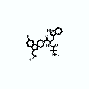 CC(C)(N)C(=O)NC(Cc1c[nH]c2ccccc12)C(=O)N1CCC2(CC1)CC(CC(=O)O)c1ccc(F)cc12